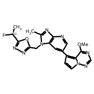 COc1ncnn2ccc(-c3cnc4nc(C)n(Cc5nnc([C@H](C)F)o5)c4c3)c12